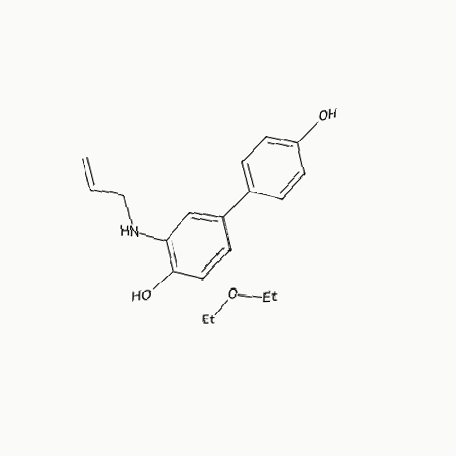 C=CCNc1cc(-c2ccc(O)cc2)ccc1O.CCOCC